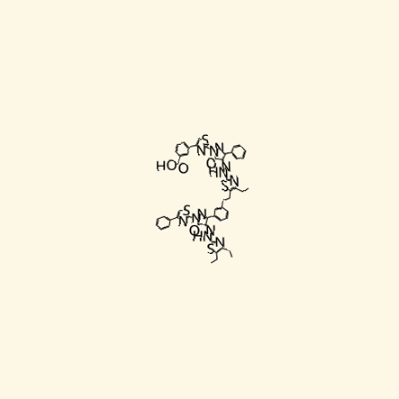 CCc1nc(N/N=C2\C(=O)N(c3nc(-c4ccccc4)cs3)N=C2c2cccc(CCc3sc(N/N=C4\C(=O)N(c5nc(-c6cccc(C(=O)O)c6)cs5)N=C4c4ccccc4)nc3CC)c2)sc1CC